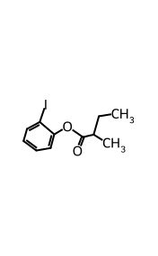 CCC(C)C(=O)Oc1ccccc1I